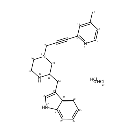 Cc1ccnc(C#CCN2CCNC(Cc3c[nH]c4ccccc34)C2)c1.Cl.Cl